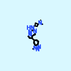 Cn1nnc2ccc(-c3ccn4nc(N[C@H]5C[C@H](N(C)C)C5)ncc34)cc21